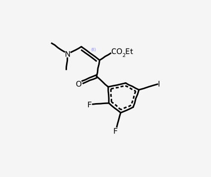 CCOC(=O)/C(=C/N(C)C)C(=O)c1cc(I)cc(F)c1F